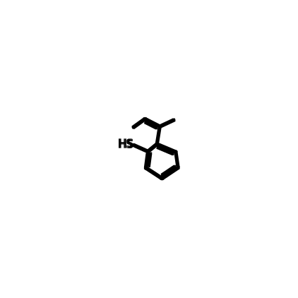 C/C=C(/C)c1ccccc1S